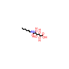 CCCC/C=C/NC(=O)[C@@H](O)[C@H](O)[C@@H](O)[C@@H](O)C(=O)O